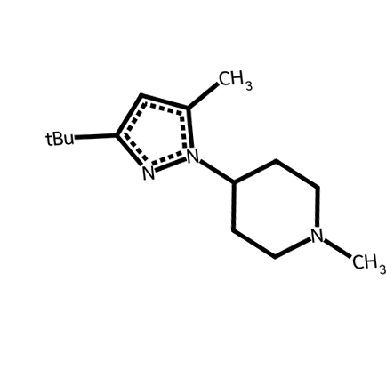 Cc1cc(C(C)(C)C)nn1C1CCN(C)CC1